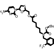 CC(C)(C)OC(=O)N(CCCCCC(=O)OCC1OC(n2ccc(N)nc2=O)CS1)Cc1ccccc1C(F)(F)F